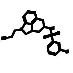 N#CCCN1CC2CC(NS(=O)(=O)c3cccc(Cl)c3)Cc3cccc1c32